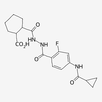 O=C(NNC(=O)C1CCCCC1C(=O)O)c1ccc(NC(=O)C2CC2)cc1F